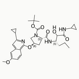 CCC[C@H](NC(=O)[C@@H]1C[C@@H](Oc2nc(C3CC3)cc3cc(OC)ccc23)CN1C(=O)OC(C)(C)C)C(O)C(=O)NC1CC1